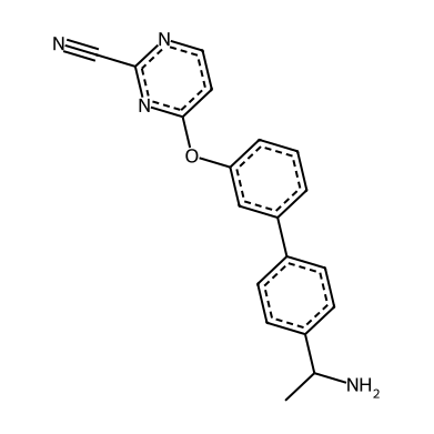 CC(N)c1ccc(-c2cccc(Oc3ccnc(C#N)n3)c2)cc1